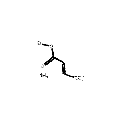 CCOC(=O)C=CC(=O)O.N